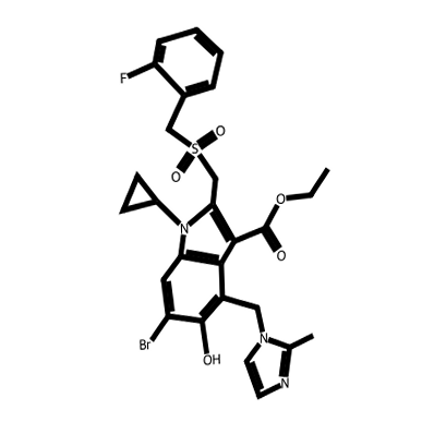 CCOC(=O)c1c(CS(=O)(=O)Cc2ccccc2F)n(C2CC2)c2cc(Br)c(O)c(Cn3ccnc3C)c12